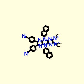 [C-]#[N+]c1nc2c(nc1[N+]#[C-])N(c1ccc3ccccc3c1)c1nc(-c3ccc(C#N)cc3)c(-c3ccc(C#N)cc3)nc1N2c1ccc2ccccc2c1